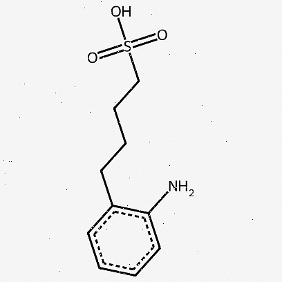 Nc1ccccc1CCCCS(=O)(=O)O